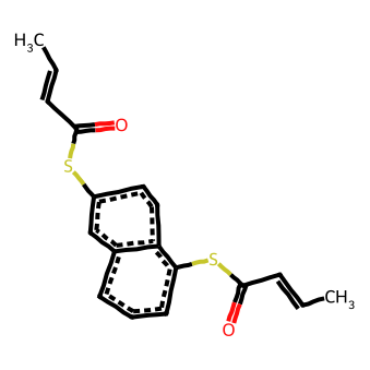 CC=CC(=O)Sc1ccc2c(SC(=O)C=CC)cccc2c1